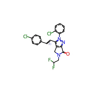 O=C1c2nn(-c3ccccc3Cl)c(/C=C/c3ccc(Cl)cc3)c2CN1CC(F)F